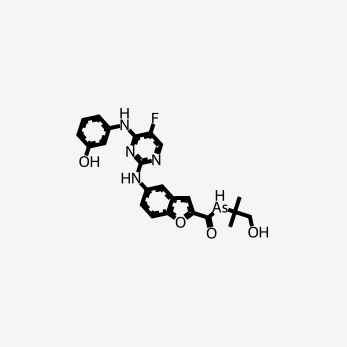 CC(C)(CO)[AsH]C(=O)c1cc2cc(Nc3ncc(F)c(Nc4cccc(O)c4)n3)ccc2o1